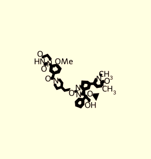 COc1ccc(C(=O)N2CCC(CCOc3nc(C(CO)(OC4CC4)c4ccccc4)c4cc(-c5cc(C)c(=O)n(C)c5)ccc4n3)CC2)cc1N1CCC(=O)NC1=O